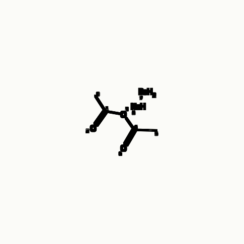 CC(=O)OC(C)=O.[BaH2].[NaH]